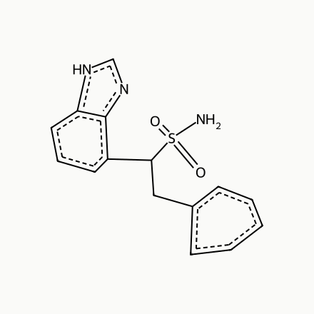 NS(=O)(=O)C(Cc1ccccc1)c1cccc2[nH]cnc12